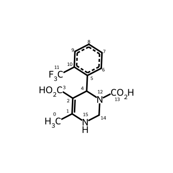 CC1=C(C(=O)O)C(c2ccccc2C(F)(F)F)N(C(=O)O)CN1